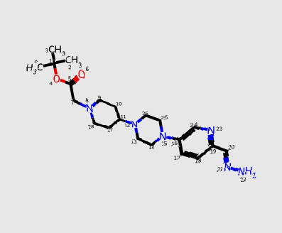 CC(C)(C)OC(=O)CN1CCC(N2CCN(c3ccc(C=NN)nc3)CC2)CC1